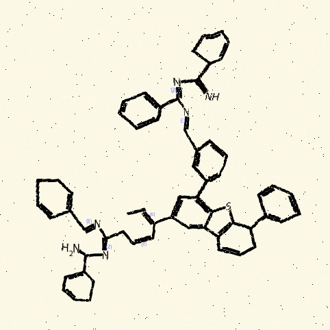 C/C=C(\C=C/CC(=N/C(N)C1=CC=CCC1)/N=C/C1=CCCC=C1)c1cc(-c2cccc(/C=N/C(=N\C(=N)C3C=CC=CC3)c3ccccc3)c2)c2sc3c(c2c1)C=CCC3c1ccccc1